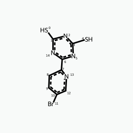 Sc1nc(S)nc(-c2ccc(Br)cn2)n1